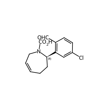 O=Cc1ccc(Cl)cc1[C@H]1CCC=CCN1C(=O)O